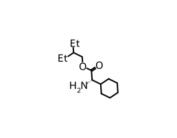 CCC(CC)COC(=O)[C@@H](N)C1CCCCC1